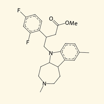 COC(=O)CC(CN1c2ccc(C)cc2C2CCN(C)CCC21)c1ccc(F)cc1F